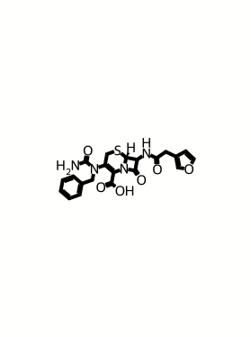 NC(=O)N(Cc1ccccc1)C1=C(C(=O)O)N2C(=O)C(NC(=O)Cc3ccoc3)[C@H]2SC1